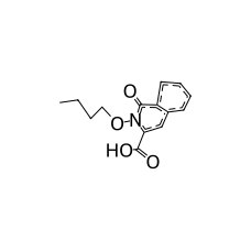 CCCCOn1c(C(=O)O)cc2ccccc2c1=O